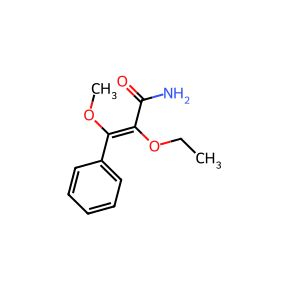 CCOC(C(N)=O)=C(OC)c1ccccc1